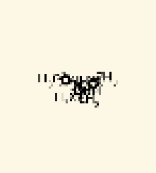 Cc1ccc(Nc2cc(C)c(C)c(Nc3ccc(C)cc3)n2)cc1